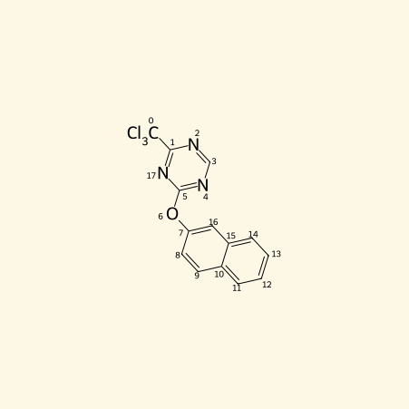 ClC(Cl)(Cl)c1ncnc(Oc2ccc3ccccc3c2)n1